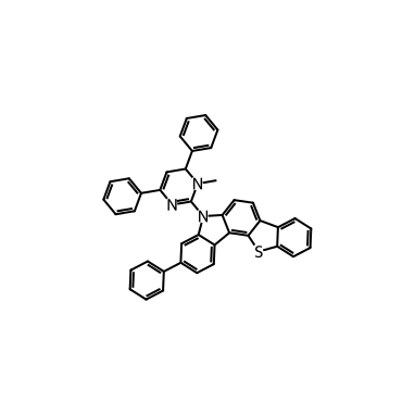 CN1C(n2c3cc(-c4ccccc4)ccc3c3c4sc5ccccc5c4ccc32)=NC(c2ccccc2)=CC1c1ccccc1